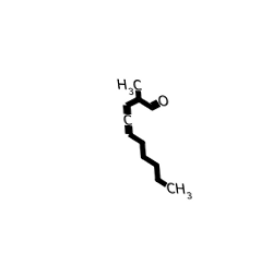 CCCCCC=C=CC(C)C=O